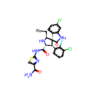 CC(C)(C)C[C@@H]1N[C@@H](C(=O)Nc2nc(C(N)=O)cs2)[C@H](c2cccc(Cl)c2F)[C@]12C(=O)Nc1cc(Cl)ccc12